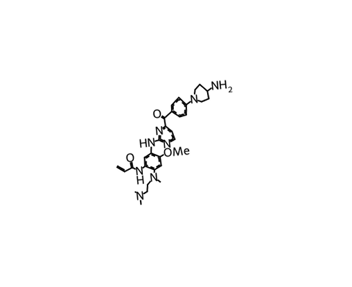 C=CC(=O)Nc1cc(Nc2nccc(C(=O)c3ccc(N4CCC(N)CC4)cc3)n2)c(OC)cc1N(C)CCN(C)C